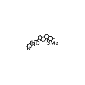 COCC12CCC(C)CC1CCC1C3CCC(C(=O)Cn4cc5ccncc5n4)C3(C)CCC12